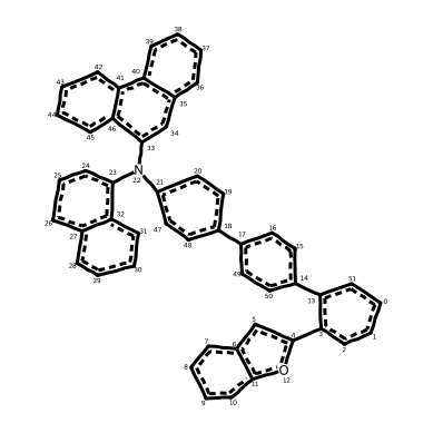 c1ccc(-c2cc3ccccc3o2)c(-c2ccc(-c3ccc(N(c4cccc5ccccc45)c4cc5ccccc5c5ccccc45)cc3)cc2)c1